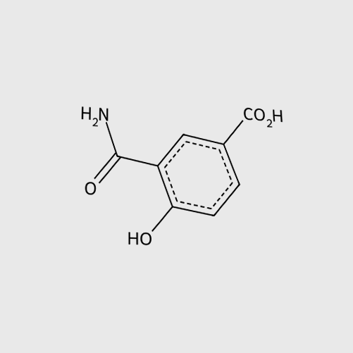 NC(=O)c1cc(C(=O)O)ccc1O